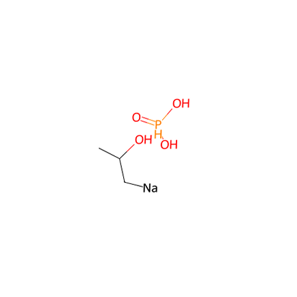 CC(O)[CH2][Na].O=[PH](O)O